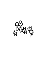 O=c1n(Cc2ncco2)c2cnc(-n3cnc4ccc(F)cc43)nc2n1[C@@H]1CCOc2ccccc21